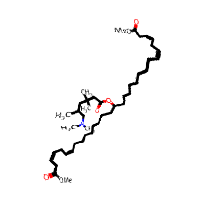 COC(=O)C/C=C\C/C=C\CCCCCCCCC(CCCCCCCC/C=C\C/C=C\CC(=O)OC)OC(=O)CC(C)(C)CC(C)CN(C)C